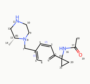 C=C(/C=C\C(=C/C)CN1CCNC[C@H]1C)C1(NC(C)=O)CC1